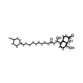 CC1CCN(CCCCCCCCCNCC(O)c2ccc(O)c3[nH]c(=O)ccc23)CC1